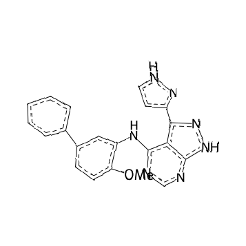 COc1ccc(-c2ccccc2)cc1Nc1ncnc2[nH]nc(-c3cc[nH]n3)c12